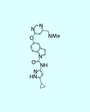 CNCc1cc(Oc2ccc3c(ccn3C(=O)Nc3cc(C4CC4)[nH]n3)c2)ncn1